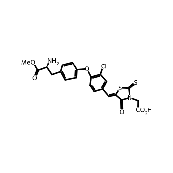 COC(=O)[C@@H](N)Cc1ccc(Oc2ccc(/C=C3\SC(=S)N(CC(=O)O)C3=O)cc2Cl)cc1